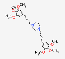 COc1cc(CCCCN2CCCN(CCCCc3cc(OC)c(OC)c(OC)c3)CC2)cc(OC)c1OC